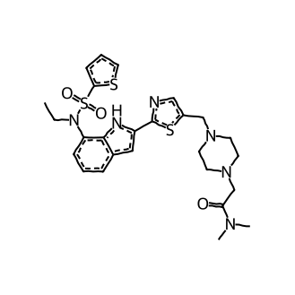 CCN(c1cccc2cc(-c3ncc(CN4CCN(CC(=O)N(C)C)CC4)s3)[nH]c12)S(=O)(=O)c1cccs1